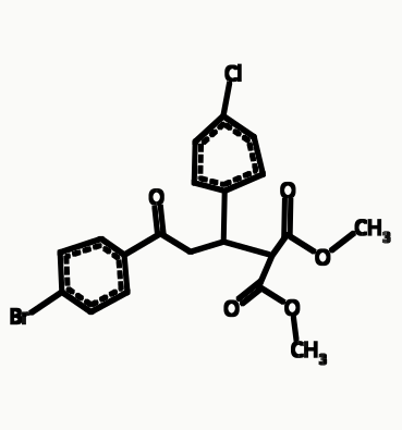 COC(=O)C(C(=O)OC)C(CC(=O)c1ccc(Br)cc1)c1ccc(Cl)cc1